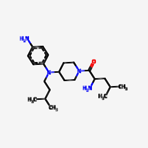 CC(C)CCN(c1ccc(N)cc1)C1CCN(C(=O)C(N)CC(C)C)CC1